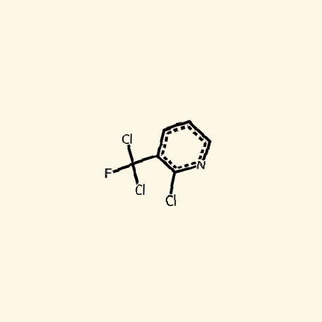 FC(Cl)(Cl)c1cccnc1Cl